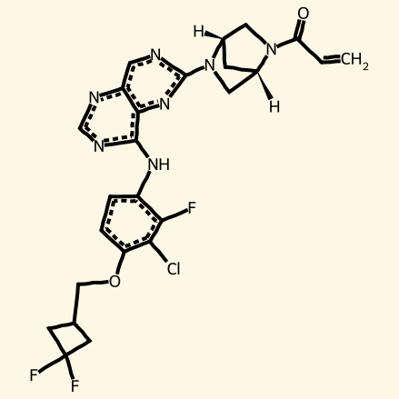 C=CC(=O)N1C[C@@H]2C[C@H]1CN2c1ncc2ncnc(Nc3ccc(OCC4CC(F)(F)C4)c(Cl)c3F)c2n1